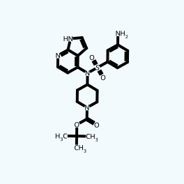 CC(C)(C)OC(=O)N1CCC(N(c2ccnc3[nH]ccc23)S(=O)(=O)c2cccc(N)c2)CC1